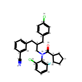 N#Cc1cccc(CC(Cc2ccc(Cl)cc2)CN(C(=O)C2CCCC2)c2c(F)cccc2Cl)c1